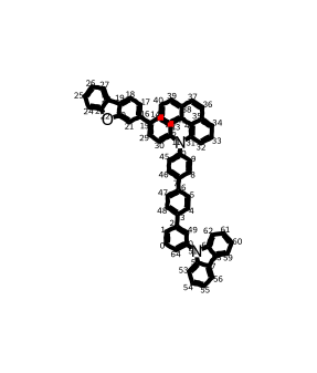 c1cc(-c2ccc(-c3ccc(N(c4ccc(-c5ccc6c(c5)oc5ccccc56)cc4)c4cccc5ccc6ccccc6c45)cc3)cc2)cc(-n2c3ccccc3c3ccccc32)c1